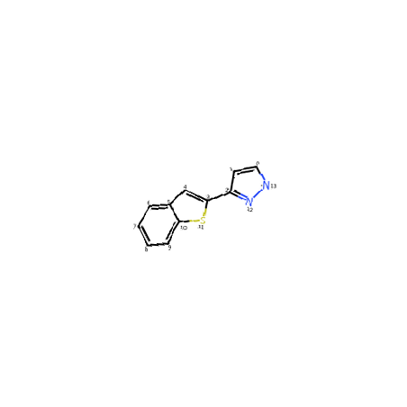 C1=CC(c2cc3ccccc3s2)=N[N]1